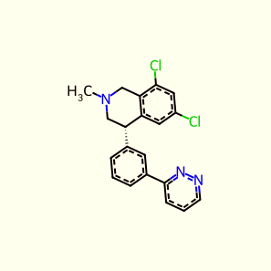 CN1Cc2c(Cl)cc(Cl)cc2[C@H](c2cccc(-c3cccnn3)c2)C1